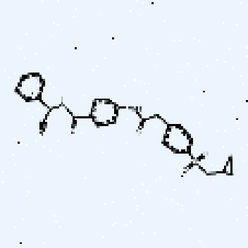 N#CC(NC(=O)c1ccc(NC(=O)Cc2ccc(S(=O)(=O)CC3CC3)cc2)cc1)c1ccccc1